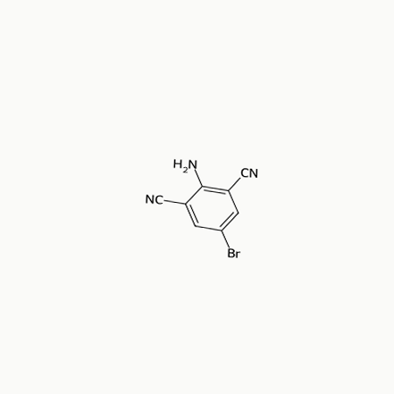 N#Cc1cc(Br)cc(C#N)c1N